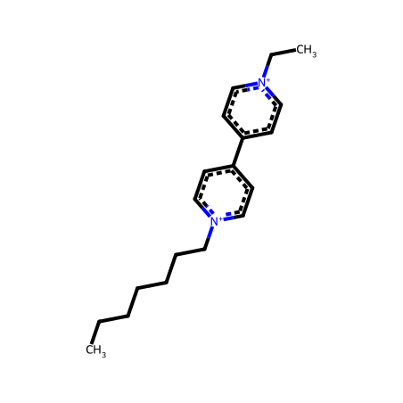 CCCCCCC[n+]1ccc(-c2cc[n+](CC)cc2)cc1